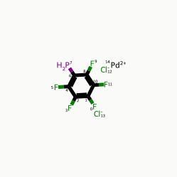 Fc1c(F)c(F)c(P)c(F)c1F.[Cl-].[Cl-].[Pd+2]